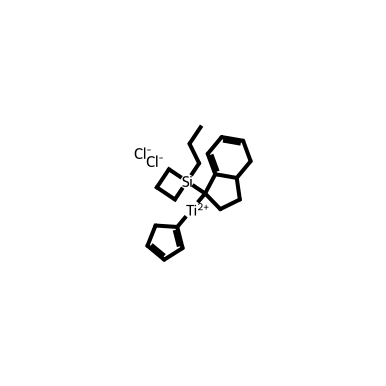 CCC[Si]1([C]2([Ti+2][C]3=CC=CC3)CCC3CC=CC=C32)CCC1.[Cl-].[Cl-]